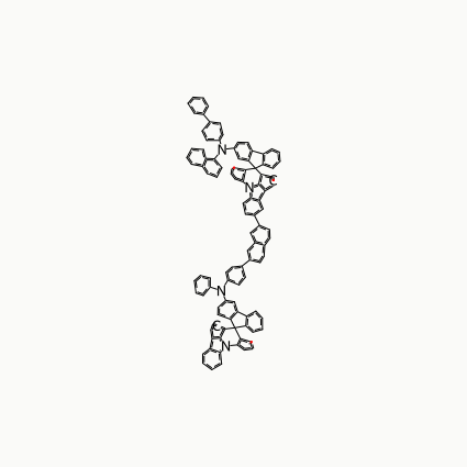 c1ccc(-c2ccc(N(c3ccc4c(c3)C3(c5ccccc5-4)c4ccccc4-n4c5ccc(-c6ccc7ccc(-c8ccc(N(c9ccccc9)c9ccc%10c(c9)-c9ccccc9C%109c%10ccccc%10-n%10c%11ccccc%11c%11cccc9c%11%10)cc8)cc7c6)cc5c5cccc3c54)c3cccc4ccccc34)cc2)cc1